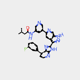 CC(C)CC(=O)Nc1cncc(-c2cc3c(-c4nc5c(-c6cccc(F)c6)ccnc5[nH]4)n[nH]c3cn2)c1